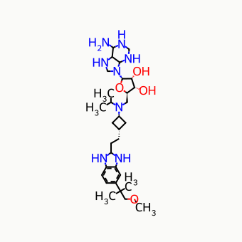 COCC(C)(C)c1ccc2c(c1)NC(CC[C@H]1C[C@H](N(C[C@H]3O[C@@H](N4CNC5C(N)NCNC54)[C@H](O)[C@@H]3O)C(C)C)C1)N2